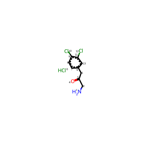 Cl.NCC(=O)Cc1ccc(Cl)c(Cl)c1